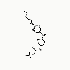 CCCC1CN(c2ncc(NC3CCC(NC(=O)OC(C)(C)C)CC3)cn2)C1